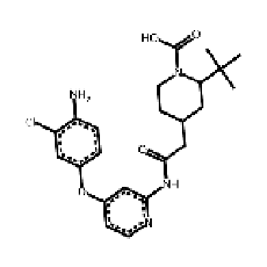 CC(C)(C)C1CC(CC(=O)Nc2cc(Oc3ccc(N)c(Cl)c3)ccn2)CCN1C(=O)O